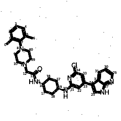 Cc1cccc(C)c1N1CCN(CC(=O)N[C@H]2CC[C@H](Nc3cc(-c4c[nH]c5ncccc45)cc(Cl)n3)CC2)CC1